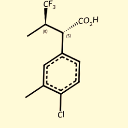 Cc1cc([C@@H](C(=O)O)[C@@H](C)C(F)(F)F)ccc1Cl